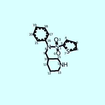 O=S(=O)(c1cccs1)N(CC1CCCNC1)c1ccccc1